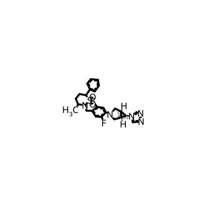 CC1CCC(c2ccccc2)S(=O)(=O)N1Cc1cc(F)c(N2C[C@@H]3[C@H](C2)[C@@H]3n2cnnc2)cc1F